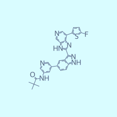 CC(C)(C)C(=O)Nc1cncc(-c2ccc3[nH]nc(-c4nc5c(-c6ccc(F)s6)cncc5[nH]4)c3c2)c1